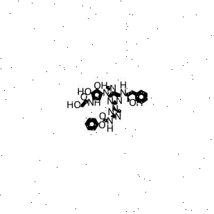 O=C(CO)N[C@H]1C[C@@H](n2cnc3c(N[C@H](CO)Cc4ccccc4)nc(-n4cnc(NC(=O)Oc5ccccc5)n4)nc32)[C@H](O)[C@@H]1O